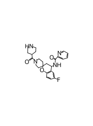 O=C(NC1CC2(CCN(C(=O)C3CCNCC3)CC2)Oc2ccc(F)cc21)c1ccccn1